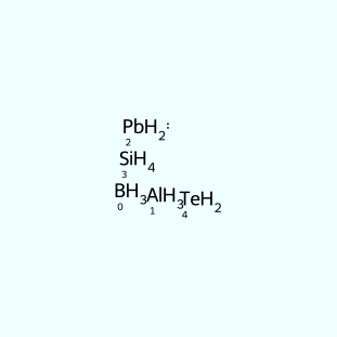 B.[AlH3].[PbH2].[SiH4].[TeH2]